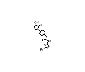 CC(C)c1cnc(NC(=O)Cc2ccc(N3CCC(O)C3=O)cc2)s1